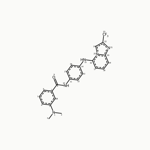 CN(C)c1cccc(C(=O)Nc2ccc(Nc3cccc4nc(C(F)(F)F)cn34)cc2)c1